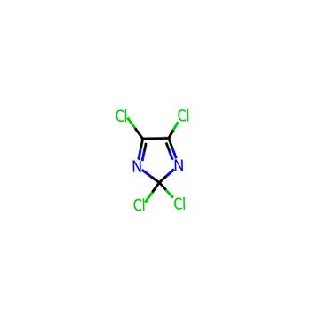 ClC1=NC(Cl)(Cl)N=C1Cl